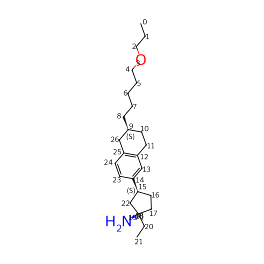 CCCOCCCCC[C@H]1CCc2cc([C@H]3CC[C@](N)(CC)C3)ccc2C1